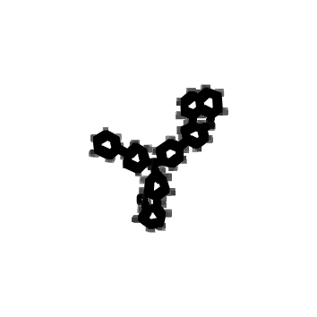 c1ccc(-c2ccc(N(c3ccc(-c4ccc5c(c4)-c4cccc6cccc(c46)S5)cc3)c3ccc4c(c3)oc3ccccc34)cc2)cc1